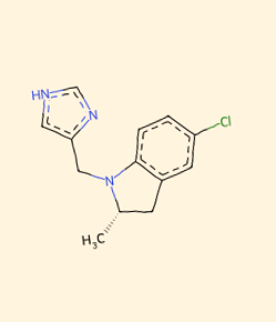 C[C@H]1Cc2cc(Cl)ccc2N1Cc1c[nH]cn1